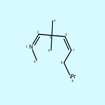 C/N=C\C(C)(C)/C=C\CC(C)C